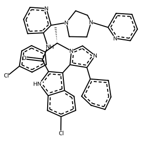 C[C@@H](c1ccc(Cl)cc1)n1cnc(-c2ccccc2)c1-c1c(C(=O)Nc2cccnc2N2CCN(c3ccccn3)CC2)[nH]c2cc(Cl)ccc12